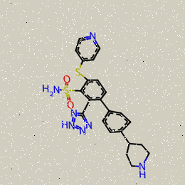 NS(=O)(=O)c1c(Sc2ccncc2)ccc(-c2ccc(C3CCNCC3)cc2)c1-c1nn[nH]n1